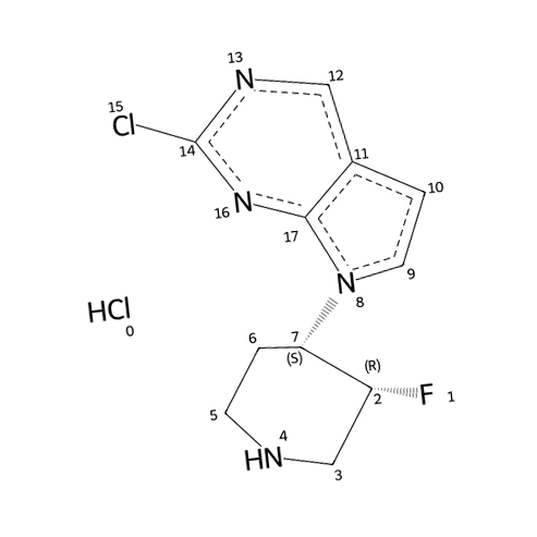 Cl.F[C@@H]1CNCC[C@@H]1n1ccc2cnc(Cl)nc21